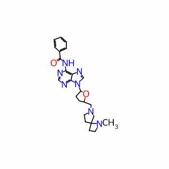 CN1CCC12CCN(CC1CCC(n3cnc4c(NC(=O)c5ccccc5)ncnc43)O1)C2